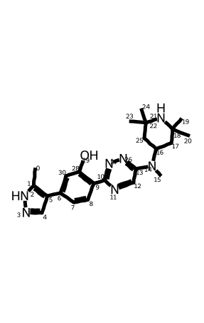 Cc1[nH]ncc1-c1ccc(-c2ncc(N(C)C3CC(C)(C)NC(C)(C)C3)nn2)c(O)c1